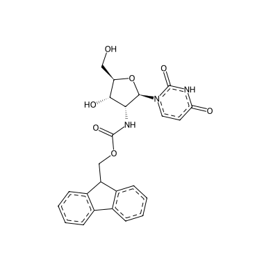 O=C(N[C@@H]1[C@H](O)[C@@H](CO)O[C@H]1n1ccc(=O)[nH]c1=O)OCC1c2ccccc2-c2ccccc21